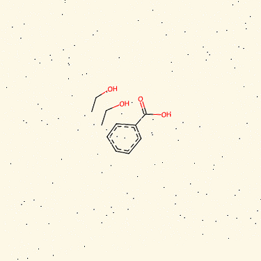 CCO.CCO.O=C(O)c1ccccc1